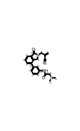 C=C(C#N)CN1Cc2c(cccc2-c2cccc(NC(=O)CN(C)C)c2)C1=O